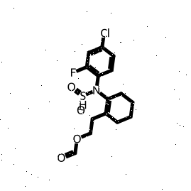 O=COCCC1=C(N(c2ccc(Cl)cc2F)[SH](=O)=O)CCCC1